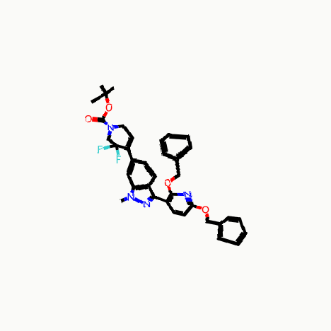 Cn1nc(-c2ccc(OCc3ccccc3)nc2OCc2ccccc2)c2ccc(C3=CCN(C(=O)OC(C)(C)C)CC3(F)F)cc21